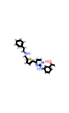 CC(O)c1cccc(Nc2nccc(-c3ccc(CNCCc4ccccc4)s3)n2)c1